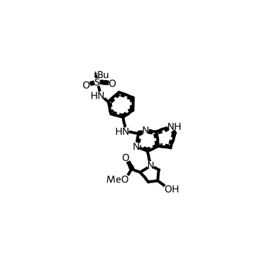 COC(=O)C1CC(O)CN1c1nc(Nc2cccc(NS(=O)(=O)C(C)(C)C)c2)nc2[nH]ccc12